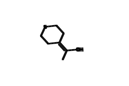 CC(O)=C1CCSCC1